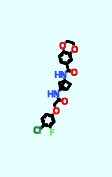 O=C(COc1ccc(Cl)c(F)c1)NC1CC2(NC(=O)c3ccc4c(c3)OCCO4)CC1C2